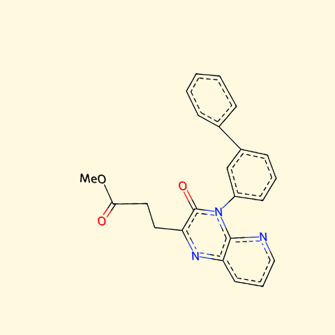 COC(=O)CCc1nc2cccnc2n(-c2cccc(-c3ccccc3)c2)c1=O